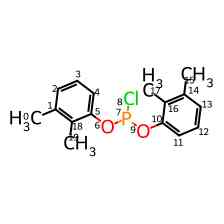 Cc1cccc(OP(Cl)Oc2cccc(C)c2C)c1C